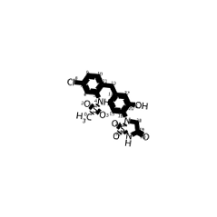 CS(=O)(=O)Nc1cc(Cl)ccc1Cc1ccc(N2CC(=O)NS2(=O)=O)c(O)c1